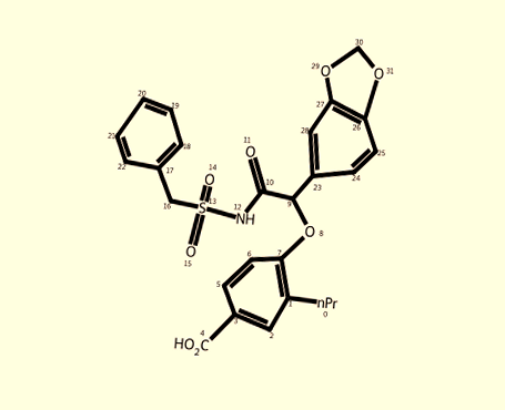 CCCc1cc(C(=O)O)ccc1OC(C(=O)NS(=O)(=O)Cc1ccccc1)c1ccc2c(c1)OCO2